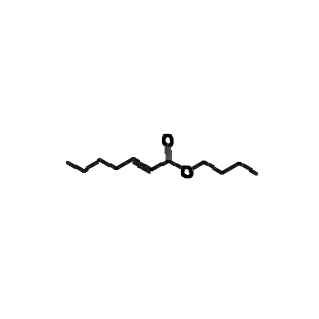 CCCC/C=C/C(=O)OCCCC